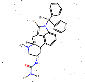 CCN(CC)C(=O)N[C@H]1CC2c3cccc4c3c(c(Br)n4[Si](c3ccccc3)(c3ccccc3)C(C)(C)C)C[C@H]2N(C)C1